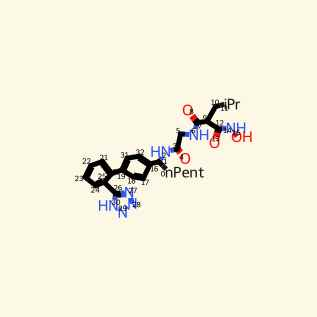 CCCCCC(NC(=O)CNC(=O)C(CC(C)C)C(=O)NO)c1ccc(-c2ccccc2-c2nnn[nH]2)cc1